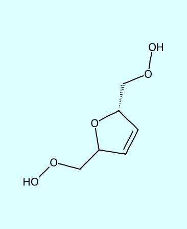 OOCC1C=C[C@@H](COO)O1